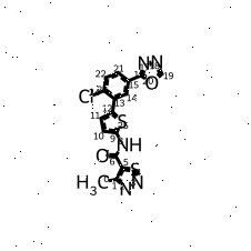 Cc1nnsc1C(=O)Nc1ccc(-c2cc(-c3nnco3)ccc2Cl)s1